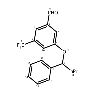 CCCC(Oc1cc(C=O)cc(C(F)(F)F)c1)c1ccccc1